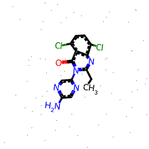 CCc1nc2c(Cl)ccc(Cl)c2c(=O)n1-c1cnc(N)cn1